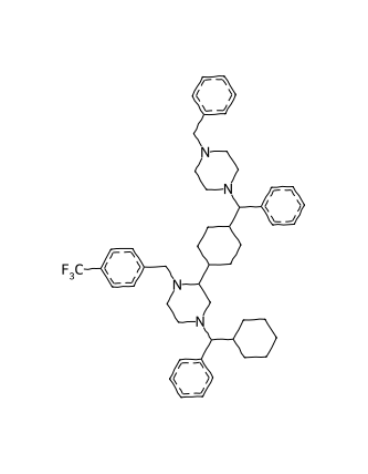 FC(F)(F)c1ccc(CN2CCN(C(c3ccccc3)C3CCCCC3)CC2C2CCC(C(c3ccccc3)N3CCN(Cc4ccccc4)CC3)CC2)cc1